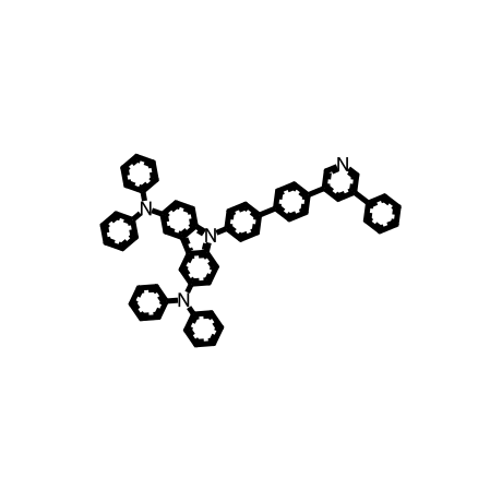 c1ccc(-c2cncc(-c3ccc(-c4ccc(-n5c6ccc(N(c7ccccc7)c7ccccc7)cc6c6cc(N(c7ccccc7)c7ccccc7)ccc65)cc4)cc3)c2)cc1